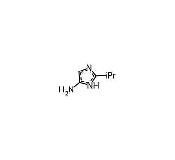 CC(C)c1ncc(N)[nH]1